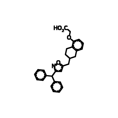 O=C(O)COc1cccc2c1CCC(Cc1cc(C(c3ccccc3)c3ccccc3)no1)C2